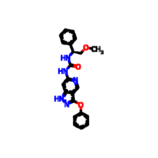 COC[C@@H](NC(=O)Nc1cc2[nH]nc(Oc3ccccc3)c2cn1)c1ccccc1